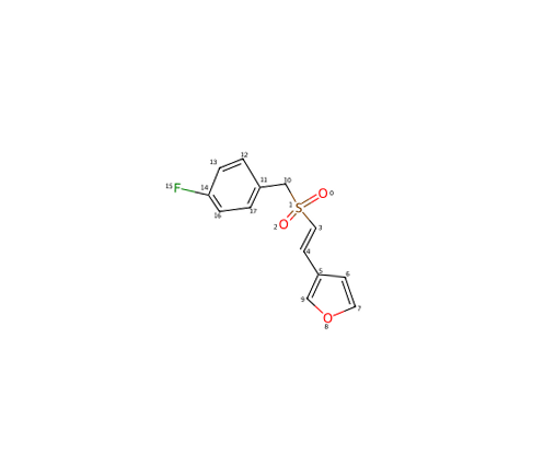 O=S(=O)(C=Cc1ccoc1)Cc1ccc(F)cc1